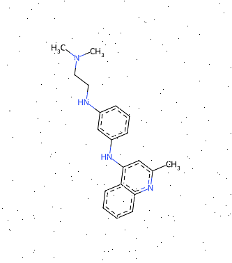 Cc1cc(Nc2cccc(NCCN(C)C)c2)c2ccccc2n1